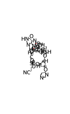 CC(C)(C)[Si](C)(C)O[C@H]1[C@H]2O[P@](=O)(S)OC[C@H]3C[C@@H](Oc4ccncn4)C[C@@H]3O[P@@](=S)(OCCC#N)OC[C@H]1O[C@H]2n1cnc2c(=O)[nH]cnc21